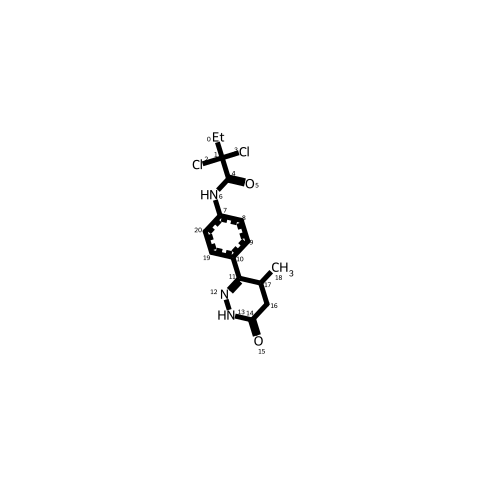 CCC(Cl)(Cl)C(=O)Nc1ccc(C2=NNC(=O)CC2C)cc1